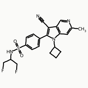 Cc1cc2c(cn1)c(C#N)c(-c1ccc(S(=O)(=O)NC(CF)CF)cc1)n2C1CCC1